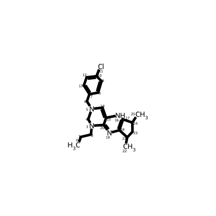 CCCN1CN(Cc2ccc(Cl)cc2)C=C2NC3=C(N=C21)C(C)CC3C